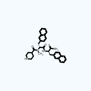 CN(C(=O)C1CCNCC1)[C@H](Cc1ccc2ccccc2c1)C(=O)N[C@H](Cc1ccc2ccccc2c1)C(N)=S